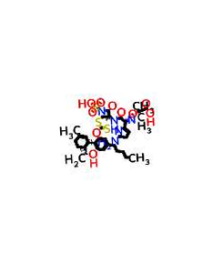 C=C[C@@H]1CCC(C)=C[C@H]1c1c(O)cc(CCCCC)cc1OC(=S)SC1[C@H](NC(=O)/C(=N\OC(C)(C)C(=O)O)C2=CCC(N)=N2)C(=O)N1S(=O)(=O)O